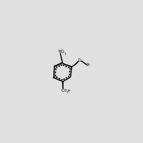 CC(C)Oc1cc(C(=O)O)ccc1[N+](=O)[O-]